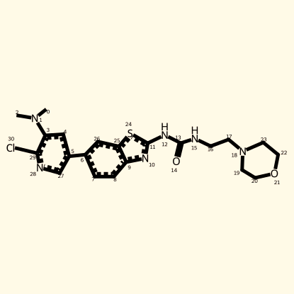 CN(C)c1cc(-c2ccc3nc(NC(=O)NCCN4CCOCC4)sc3c2)cnc1Cl